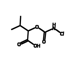 CC(C)C(OC(=O)NCl)C(=O)O